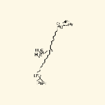 CC(C)CC(CC(C)C)OC(=O)CCCCCCCCCCC1(CCN(C)C)CC1CCCCCCCCCC(=O)OC(CC(C)C)CC(C)C